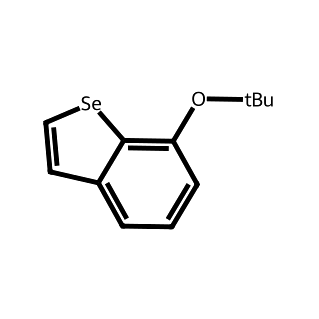 CC(C)(C)Oc1cccc2cc[se]c12